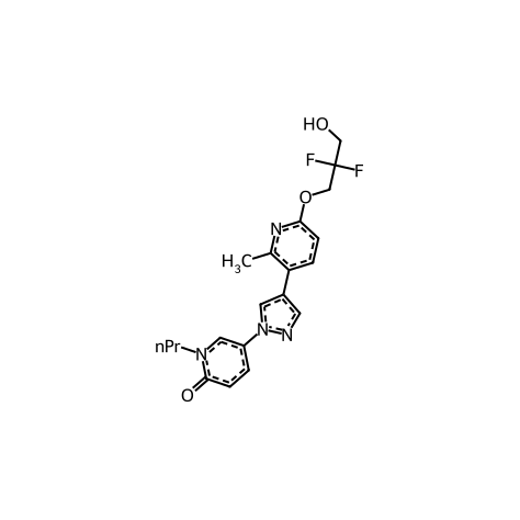 CCCn1cc(-n2cc(-c3ccc(OCC(F)(F)CO)nc3C)cn2)ccc1=O